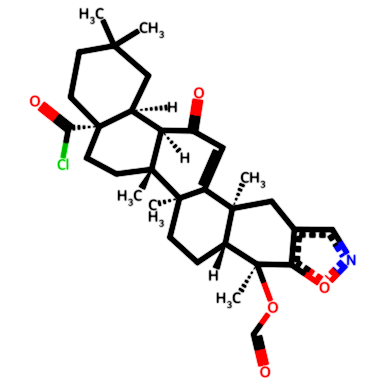 CC1(C)CC[C@]2(C(=O)Cl)CC[C@]3(C)[C@H](C(=O)C=C4[C@@]5(C)Cc6cnoc6[C@@](C)(OC=O)[C@@H]5CC[C@]43C)[C@@H]2C1